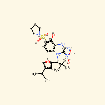 CC(C)c1coc([C@H](Nc2c(Nc3cccc(S(=O)(=O)N4CCCC4)c3O)no[n+]2[O-])C(C)(C)C)c1